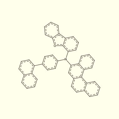 c1ccc2c(-c3ccc(N(c4cc5ccc6ccccc6c5c5ccccc45)c4cccc5c4oc4ccccc45)cc3)cccc2c1